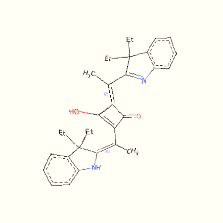 CCC1(CC)C(/C(C)=C2\C(=O)C(C(/C)=C3/Nc4ccccc4C3(CC)CC)=C2O)=Nc2ccccc21